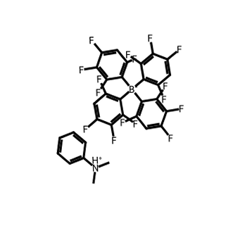 C[NH+](C)c1ccccc1.Fc1cc(F)c([B-](c2c(F)cc(F)c(F)c2F)(c2c(F)cc(F)c(F)c2F)c2c(F)cc(F)c(F)c2F)c(F)c1F